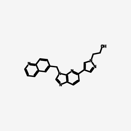 OCCn1cc(-c2ccc3ncn(Cc4ccc5ncccc5c4)c3n2)cn1